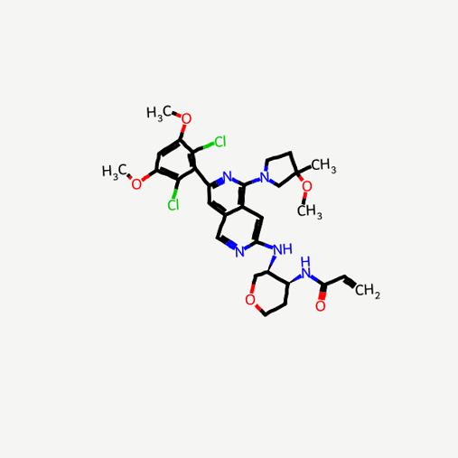 C=CC(=O)N[C@H]1CCOC[C@H]1Nc1cc2c(N3CCC(C)(OC)C3)nc(-c3c(Cl)c(OC)cc(OC)c3Cl)cc2cn1